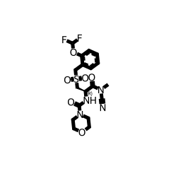 CN(C#N)C(=O)[C@H](CS(=O)(=O)Cc1ccccc1OC(F)F)NC(=O)N1CCOCC1